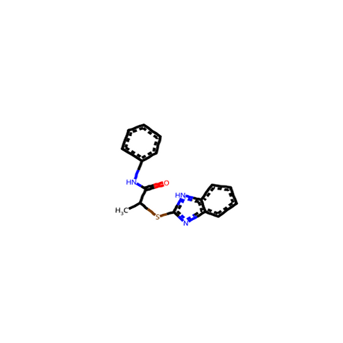 CC(Sc1nc2ccccc2[nH]1)C(=O)Nc1ccccc1